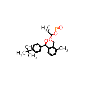 CCC(OCc1c(C)cccc1C(=O)c1ccc(C(C)(C)C)cc1)OP=O